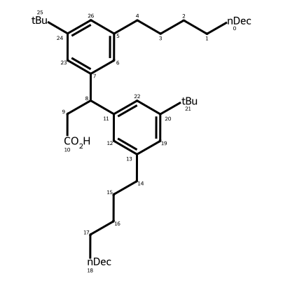 CCCCCCCCCCCCCCc1cc(C(CC(=O)O)c2cc(CCCCCCCCCCCCCC)cc(C(C)(C)C)c2)cc(C(C)(C)C)c1